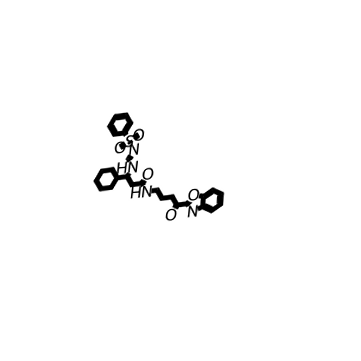 O=C(CC(NC=NS(=O)(=O)c1ccccc1)C1CCCCC1)NCCCC(=O)c1nc2ccccc2o1